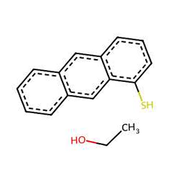 CCO.Sc1cccc2cc3ccccc3cc12